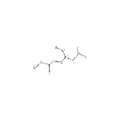 CC(C)OP(OCl)OCC(Cl)CCl